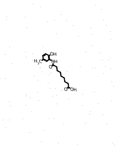 Cc1ccc(O)c(NC(=O)CCCCCCCC(=O)O)c1